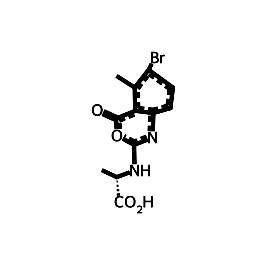 Cc1c(Br)ccc2nc(N[C@@H](C)C(=O)O)oc(=O)c12